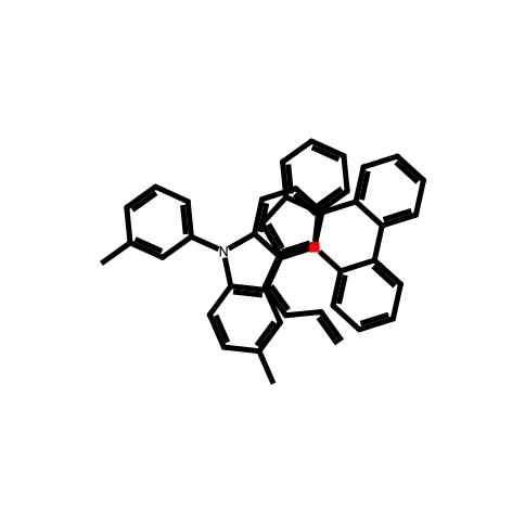 C=C/C=C\c1cc2ccccc2n1-c1ccccc1-c1ccccc1-c1ccc2c(c1)c1cc(C)ccc1n2-c1cccc(C)c1